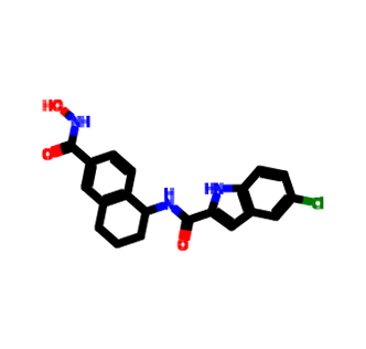 O=C(NO)c1ccc2c(c1)CCCC2NC(=O)c1cc2cc(Cl)ccc2[nH]1